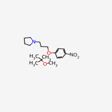 COC(C)(C)C.O=[N+]([O-])c1ccc(OCCCN2CCCC2)cc1